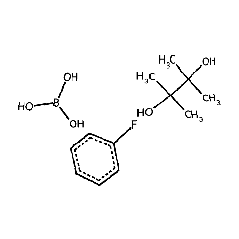 CC(C)(O)C(C)(C)O.Fc1ccccc1.OB(O)O